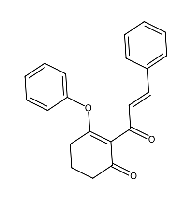 O=C(C=Cc1ccccc1)C1=C(Oc2ccccc2)CCCC1=O